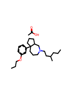 CC(=O)O.CCCOc1cccc(C23CCCC2CN(CCC(C)CCC)CCC3)c1